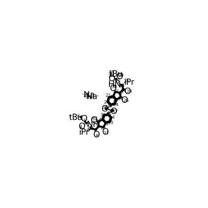 CC(C)[C@@H](NC(=O)OC(C)(C)C)C(=O)C1C(=O)c2ccc(S(=O)(=O)c3ccc4c(c3)C(=O)C(C(=O)[C@H](NC(=O)OC(C)(C)C)C(C)C)C4=O)cc2C1=O.[Na].[Na]